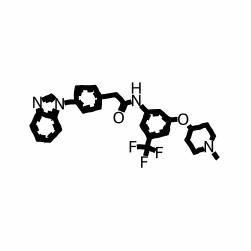 CN1CCC(Oc2cc(NC(=O)Cc3ccc(-n4cnc5ccccc54)cc3)cc(C(F)(F)F)c2)CC1